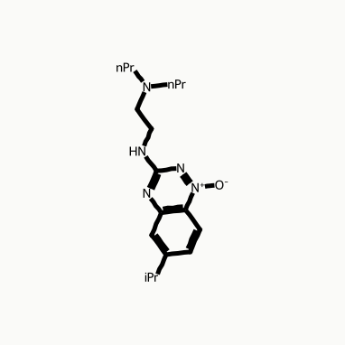 CCCN(CCC)CCNc1nc2cc(C(C)C)ccc2[n+]([O-])n1